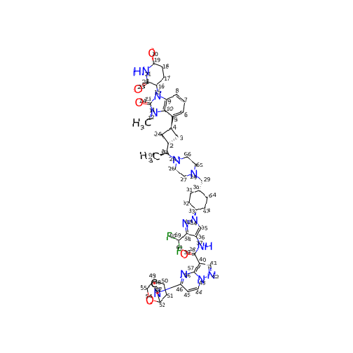 C[C@@H]([C@H]1C[C@H](c2cccc3c2n(C)c(=O)n3C2CCC(=O)NC2=O)C1)N1CCN(C[C@H]2CC[C@H](n3cc(NC(=O)c4cnn5ccc(N6CC7CCC(C6)OC7)nc45)c(C(F)F)n3)CC2)CC1